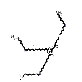 CCCCCCCC/C=C\CCCCCCCCCCCC(=O)OCC(COC(=O)CCCCCCCCCCC/C=C\CCCCCCCC)OC(=O)CCCCCCCCCCC/C=C\CCCCCCCC